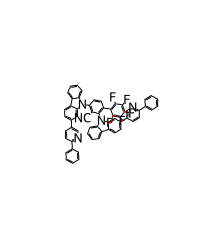 N#Cc1c(-n2c3ccccc3c3ccc(-c4ccc(-c5ccccc5)nc4)cc32)ccc(-c2c(F)c(F)c(F)c(F)c2F)c1-n1c2ccccc2c2ccc(-c3ccc(-c4ccccc4)nc3)cc21